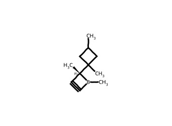 CB1C#C[C@]1(C)C1(C)CC(C)C1